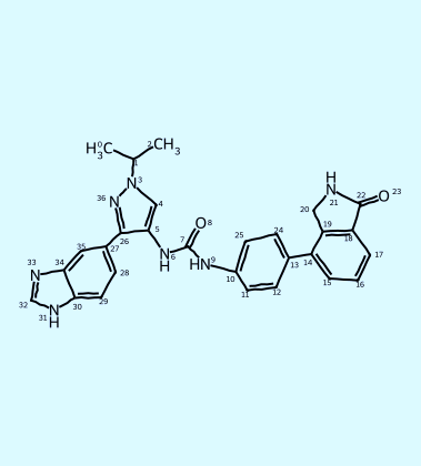 CC(C)n1cc(NC(=O)Nc2ccc(-c3cccc4c3CNC4=O)cc2)c(-c2ccc3[nH]cnc3c2)n1